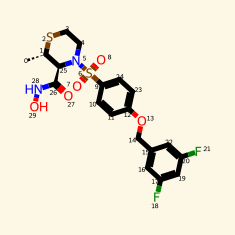 C[C@@H]1SCCN(S(=O)(=O)c2ccc(OCc3cc(F)cc(F)c3)cc2)[C@H]1C(=O)NO